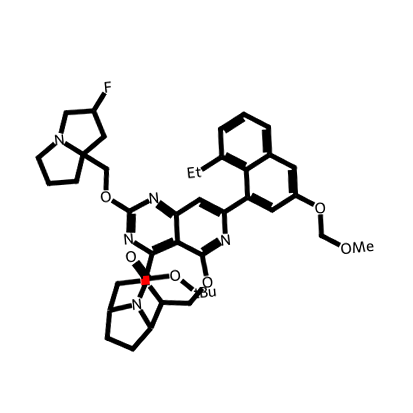 CCc1cccc2cc(OCOC)cc(-c3cc4nc(OCC56CCCN5CC(F)C6)nc5c4c(n3)OCC3C4CCC(CN53)N4C(=O)OC(C)(C)C)c12